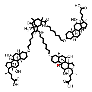 C[C@H](CCC(=O)O)[C@H]1CC[C@H]2[C@@H]3[C@H](O)C[C@@H]4C[C@@H](OCCCCCCNC(=O)C56CC(C)(C(=O)NCCCCCCO[C@H]7CC[C@@]8(C)[C@H](CC[C@@H]9[C@@H]8C[C@H](O)[C@@]8(C)[C@H]9CC[C@]8(C)[C@H](C)CCC(=O)O)C7)CC(C)(C5)C(=O)C6(N)CCCCCCO[C@H]5CC[C@@]6(C)[C@@H](C5)C[C@@H](O)[C@@H]5[C@@H]6C[C@H](O)[C@]6(C)[C@@H]([C@H](C)CCC(=O)O)CC[C@@H]56)CC[C@]4(C)[C@H]3C[C@H](O)[C@]12C